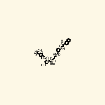 C/C(=C\C(=O)Nc1cccc(C(=O)NCCCC(=O)N[C@@H](C(=O)N2C[C@@H](O)C[C@@H]2C(=O)NCc2ccc(-c3scnc3C)cc2)C(C)(C)C)c1)c1ccc2ccccc2c1